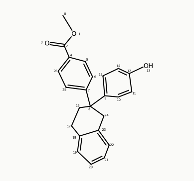 COC(=O)c1ccc(C2(c3ccc(O)cc3)CCc3ccccc3C2)cc1